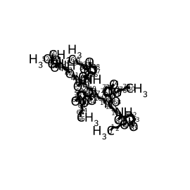 CCCCOn1c(C(=O)NCCCN(CCCCN(CC[C@H](NC(=O)c2cccc(=O)n2OCCCC)C(=O)NCCOCCNC(=O)OC(C)(C)C)C(=O)c2cccc(=O)n2OCCCC)C(=O)c2cccc(=O)n2OCCCC)cccc1=O